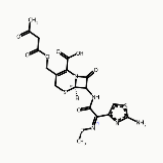 CO/N=C(\C(=O)NC1C(=O)N2C(C(=O)O)=C(COC(=O)CC(C)=O)CS[C@H]12)c1csc(N)n1